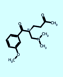 COc1cccc(C(=O)[C@@H](CCC(C)=O)CN(C)C)c1